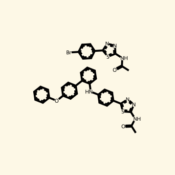 CC(=O)Nc1nnc(-c2ccc(Br)cc2)s1.CC(=O)Nc1nnc(-c2ccc(Nc3ccccc3-c3ccc(Oc4ccccc4)cc3)cc2)s1